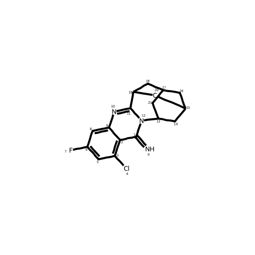 N=c1c2c(Cl)cc(F)cc2nc2n1C1CC3CC(CC2C3)C1